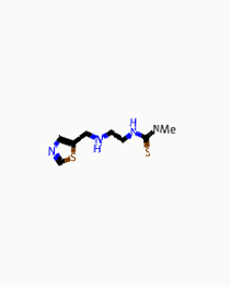 CNC(=S)NCCNCc1cncs1